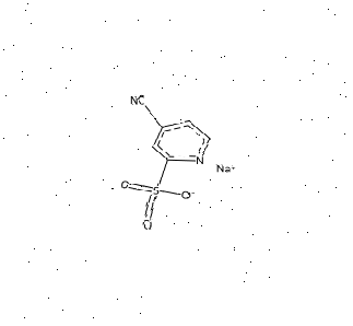 N#Cc1ccnc(S(=O)(=O)[O-])c1.[Na+]